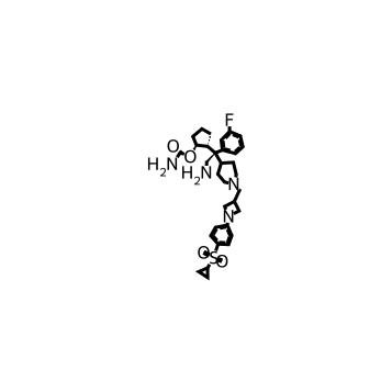 NC[C@@](c1cccc(F)c1)(C1CCN(CC2CN(c3ccc(S(=O)(=O)C4CC4)cc3)C2)CC1)[C@H]1CCC[C@@H]1OC(N)=O